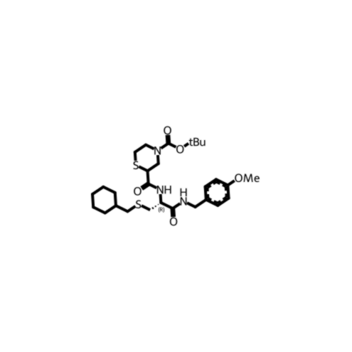 COc1ccc(CNC(=O)[C@H](CSCC2CCCCC2)NC(=O)C2CN(C(=O)OC(C)(C)C)CCS2)cc1